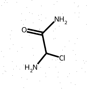 NC(=O)C(N)Cl